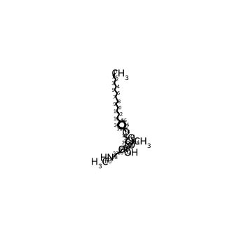 CCCCCCCCCCCCCCc1ccc(OCC(COP(O)OCCCNCC)OC(C)=O)cc1